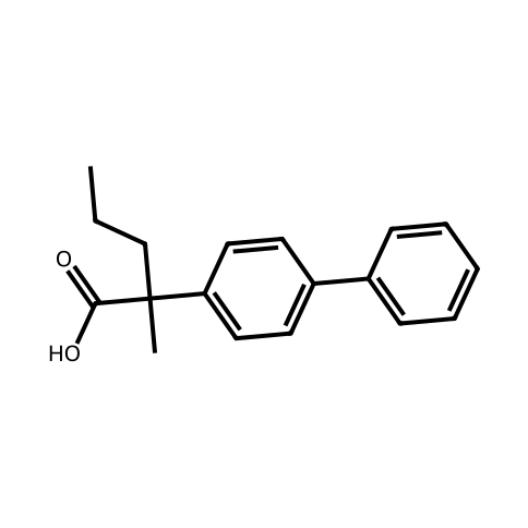 CCCC(C)(C(=O)O)c1ccc(-c2ccccc2)cc1